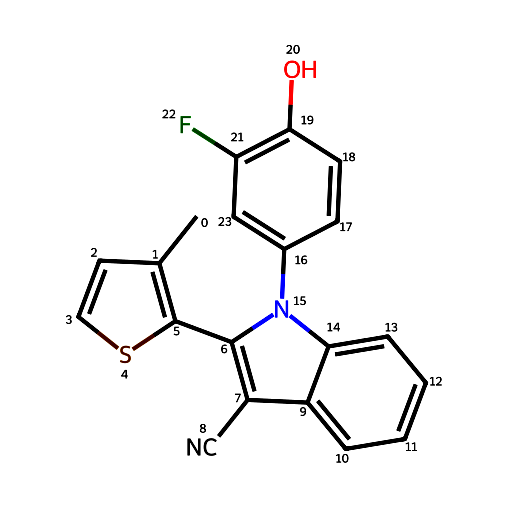 Cc1ccsc1-c1c(C#N)c2ccccc2n1-c1ccc(O)c(F)c1